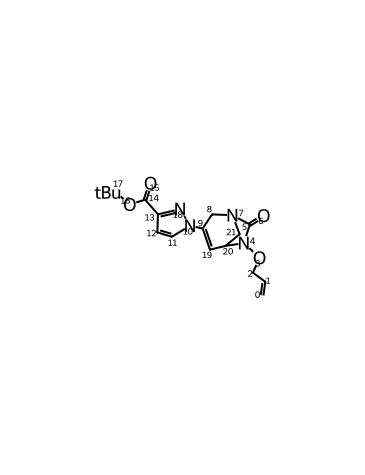 C=CCON1C(=O)N2CC(n3ccc(C(=O)OC(C)(C)C)n3)=CC1C2